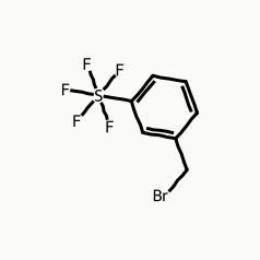 FS(F)(F)(F)(F)c1cccc(CBr)c1